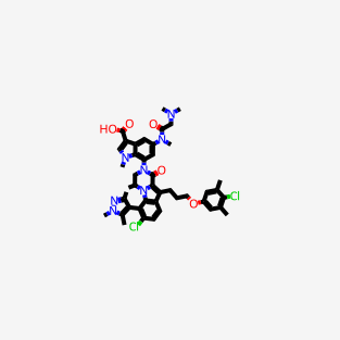 Cc1cc(OCCCc2c3n(c4c(-c5c(C)nn(C)c5C)c(Cl)ccc24)C(C)CN(c2cc(N(C)C(=O)CN(C)C)cc4c(C(=O)O)cn(C)c24)C3=O)cc(C)c1Cl